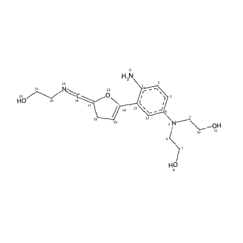 Nc1ccc(N(CCO)CCO)cc1C1=CCC(=C=NCCO)O1